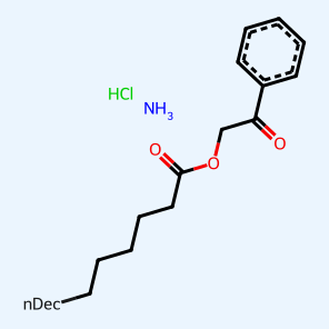 CCCCCCCCCCCCCCCC(=O)OCC(=O)c1ccccc1.Cl.N